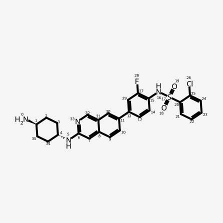 N[C@H]1CC[C@H](Nc2cc3ccc(-c4ccc(NS(=O)(=O)c5ccccc5Cl)c(F)c4)cc3cn2)CC1